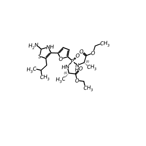 CCOC(=O)[C@H](C)NP(=O)(N[C@@H](C)C(=O)OCC)c1ccc(C2=C(CC(C)C)SC(N)N2)o1